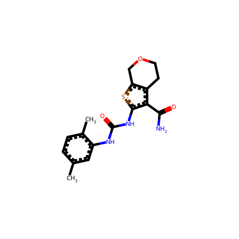 Cc1ccc(C)c(NC(=O)Nc2sc3c(c2C(N)=O)CCOC3)c1